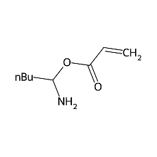 C=CC(=O)OC(N)CCCC